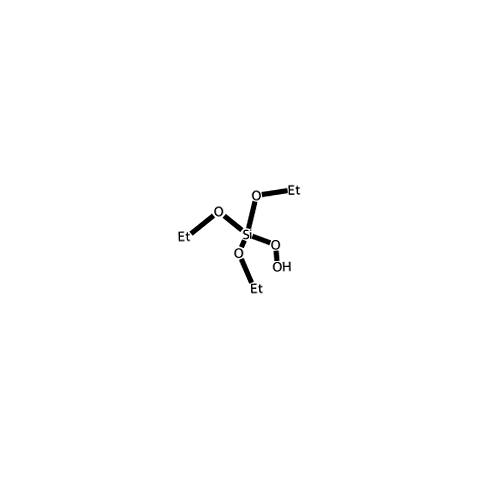 CCO[Si](OO)(OCC)OCC